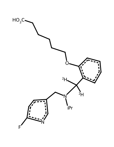 [2H]C([2H])(c1ccccc1OCCCCCC(=O)O)N(Cc1ccc(F)nc1)C(C)C